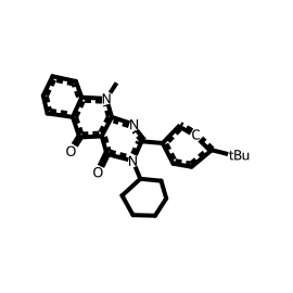 Cn1c2ccccc2c(=O)c2c(=O)n(C3CCCCC3)c(-c3ccc(C(C)(C)C)cc3)nc21